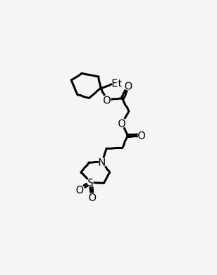 CCC1(OC(=O)COC(=O)CCN2CCS(=O)(=O)CC2)CCCCC1